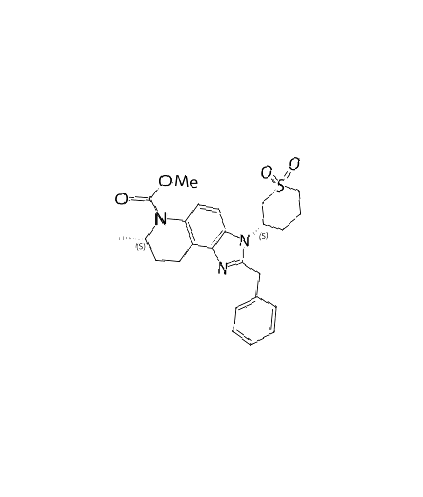 COC(=O)N1c2ccc3c(nc(Cc4ccccc4)n3[C@H]3CCCS(=O)(=O)C3)c2CC[C@@H]1C